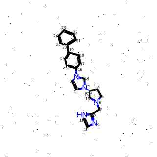 C1=CN([C@H]2CCN(Cc3ncc[nH]3)C2)CN1c1ccc(-c2ccccc2)cc1